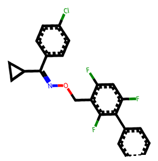 Fc1cc(F)c(-c2ccccc2)c(F)c1CON=C(c1ccc(Cl)cc1)C1CC1